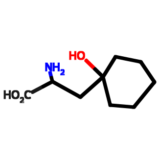 NC(CC1(O)CCCCC1)C(=O)O